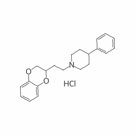 Cl.c1ccc(C2CCN(CCC3COc4ccccc4O3)CC2)cc1